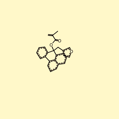 C=C(C)C(=O)OC1(Cc2ccoc2)c2ccccc2-c2cccc3cccc1c23